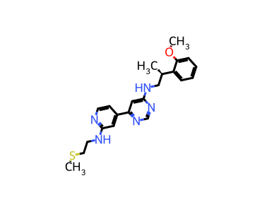 COc1ccccc1[C@H](C)CNc1cc(-c2ccnc(NCCSC)c2)ncn1